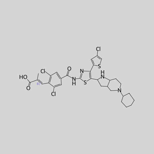 C/C(=C\c1c(Cl)cc(C(=O)Nc2nc(-c3cc(Cl)cs3)c(C3CC4CN(C5CCCCC5)CCC4N3)s2)cc1Cl)C(=O)O